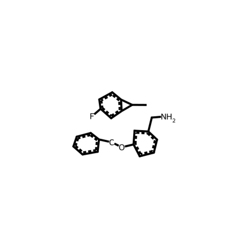 CC1c2ccc(F)cc21.NCc1cccc(OCc2ccccc2)c1